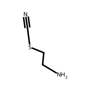 N#CSCCN